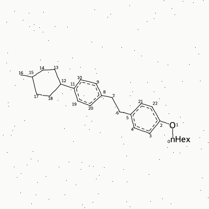 CCCCCCOc1ccc(CCc2ccc(C3CCC(C)CC3)cc2)cc1